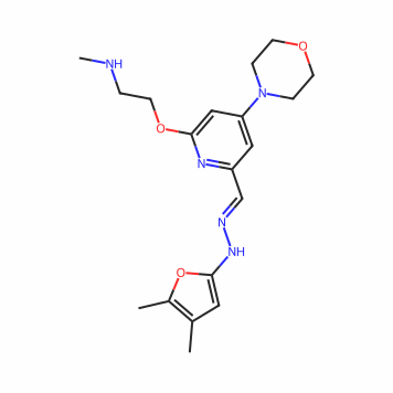 CNCCOc1cc(N2CCOCC2)cc(C=NNc2cc(C)c(C)o2)n1